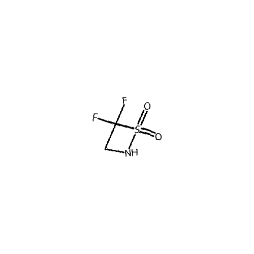 O=S1(=O)NCC1(F)F